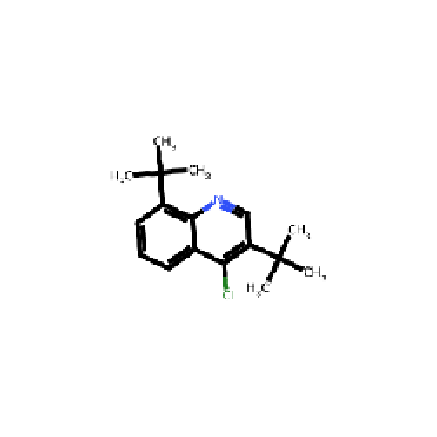 CC(C)(C)c1cnc2c(C(C)(C)C)cccc2c1Cl